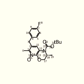 Cc1c(Cc2ccc(F)cc2)cc2c([n+]1[O-])OC[C@H](C)N2C(=O)OC(C)(C)C